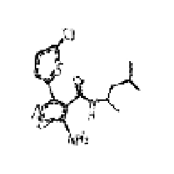 CC(C)CC(C)NC(=O)c1c(-c2ccc(Cl)s2)noc1N